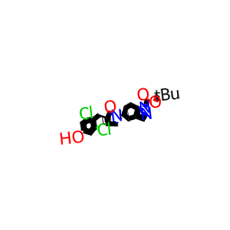 CC(C)(C)OC(=O)n1ncc2c1CC[C@H](N1CC[C@@H](Cc3c(Cl)cc(O)cc3Cl)C1=O)C2